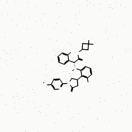 COc1ccc(N2CC(c3c(F)cccc3N(C)[C@H](C(=O)NC3CC(F)(F)C3)c3ccccc3Cl)CC2=O)nc1